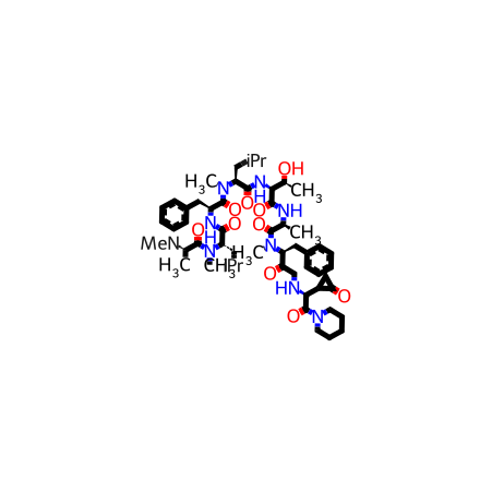 CN[C@@H](C)C(=O)N(C)[C@@H](CC(C)C)C(=O)N[C@@H](Cc1ccccc1)C(=O)N(C)[C@@H](CC(C)C)C(=O)N[C@H](C(=O)N[C@@H](C)C(=O)N(C)[C@@H](Cc1ccccc1)C(=O)CN[C@H](C(=O)N1CCCCC1)C1CC1=O)[C@@H](C)O